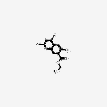 CCOC(=O)c1cc2nc(Cl)cc(Cl)c2cc1C